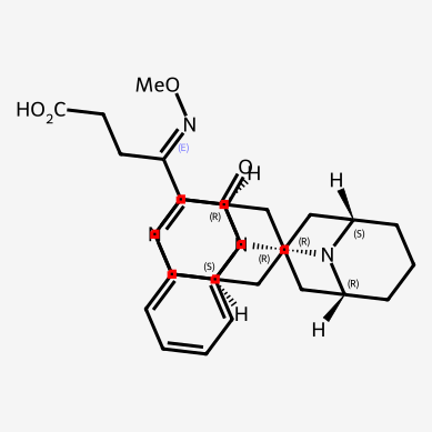 CO/N=C(\CCC(=O)O)c1nc2ccccc2n([C@H]2C[C@H]3CCC[C@@H](C2)N3[C@H]2C[C@@H]3CCC[C@@H](C3)C2)c1=O